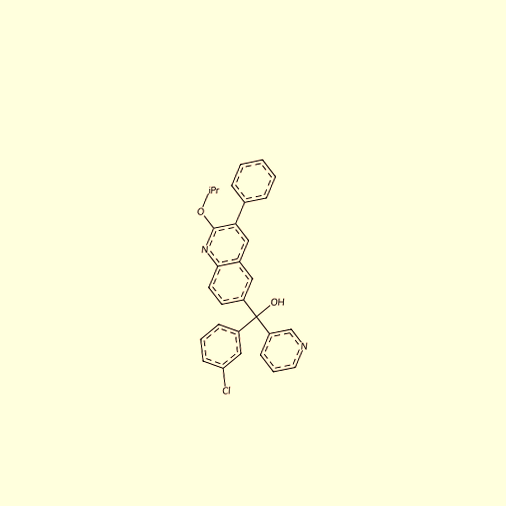 CC(C)Oc1nc2ccc(C(O)(c3cccnc3)c3cccc(Cl)c3)cc2cc1-c1ccccc1